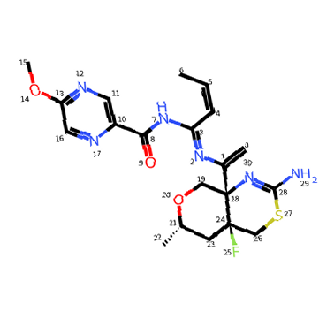 C=C(/N=C(\C=C/C)NC(=O)c1cnc(OC)cn1)[C@]12CO[C@@H](C)C[C@@]1(F)CSC(N)=N2